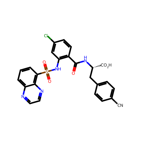 N#Cc1ccc(C[C@H](NC(=O)c2ccc(Cl)cc2NS(=O)(=O)c2cccc3nccnc23)C(=O)O)cc1